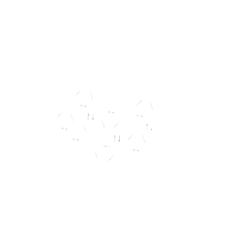 CC(C)(C)c1ccc(N(c2ccc3c(c2)N(c2ccccc2)c2cccc4c2B3c2cccc3c2N4C2(C)CCCCC32C)c2cccc3ccccc23)cc1